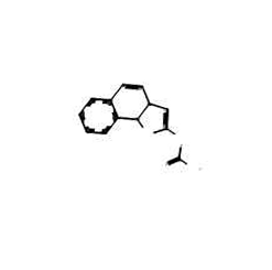 O=C(O)OC1=CC2C=Cc3ccccc3C2S1